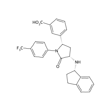 O=C(O)c1cccc([C@@H]2C[C@H](N[C@H]3CCc4ccccc43)C(=O)N2c2ccc(C(F)(F)F)cc2)c1